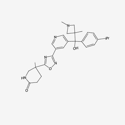 CC(C)c1ccc(C(O)(c2cncc(-c3noc(C4(C)CCC(=O)NC4)n3)c2)C2(C)CN(C)C2)cc1